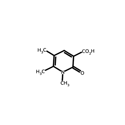 Cc1cc(C(=O)O)c(=O)n(C)c1C